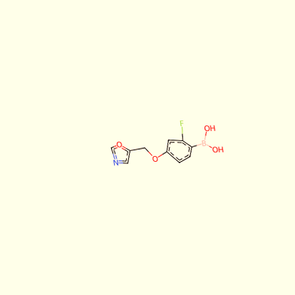 OB(O)c1ccc(OCc2cnco2)cc1F